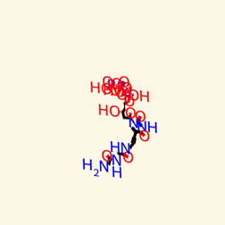 NCC(=O)NCC(=O)NCC#Cc1cn([C@H]2C[C@H](O)[C@@H](COP(=O)(O)OP(=O)(O)OP(=O)(O)O)O2)c(=O)[nH]c1=O